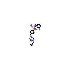 C[C@@H]1CN(Cc2ccc(C(=O)Nc3ccccc3N)cc2)C[C@H](C)N1CC1CC1